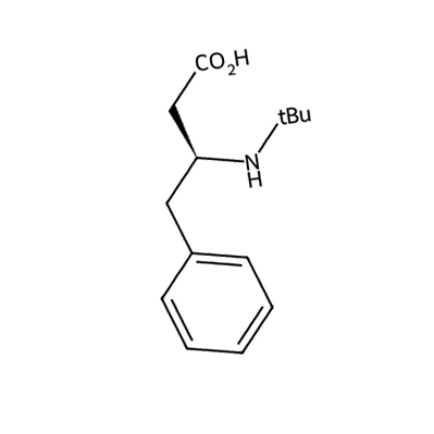 CC(C)(C)N[C@H](CC(=O)O)Cc1ccccc1